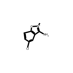 C[n+]1oc2ccc(Cl)cc2c1N